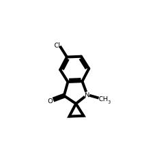 CN1c2ccc(Cl)cc2C(=O)C12CC2